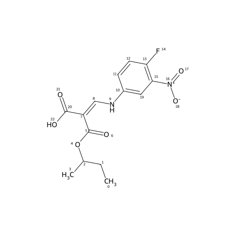 CCC(C)OC(=O)C(=CNc1ccc(F)c([N+](=O)[O-])c1)C(=O)O